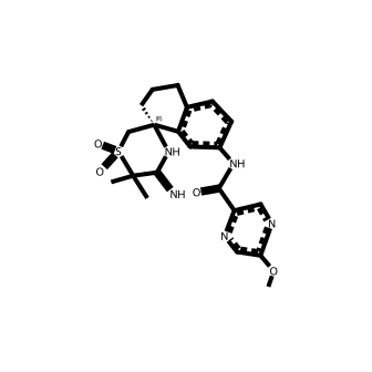 COc1cnc(C(=O)Nc2ccc3c(c2)[C@]2(CCC3)CS(=O)(=O)C(C)(C)C(=N)N2)cn1